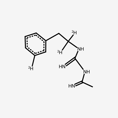 [2H]c1cccc(CC([2H])([2H])NC(=N)NC(C)=N)c1